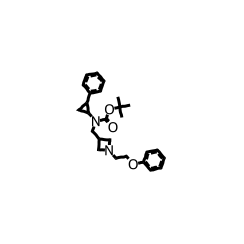 CC(C)(C)OC(=O)N(CC1CN(CCOc2ccccc2)C1)C1CC1c1ccccc1